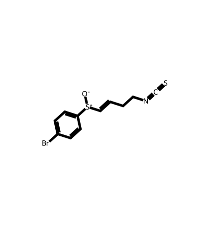 [O-][S+](C=CCCN=C=S)c1ccc(Br)cc1